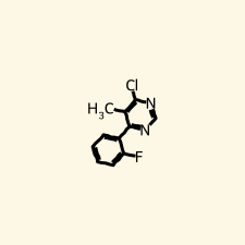 Cc1c(Cl)ncnc1-c1ccccc1F